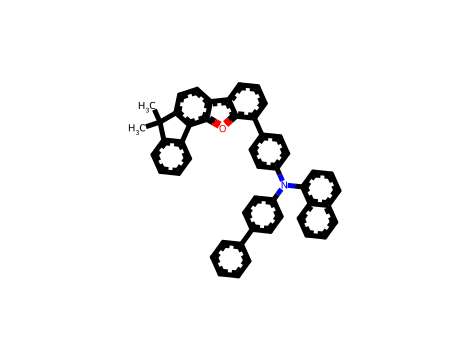 CC1(C)c2ccccc2-c2c1ccc1c2oc2c(-c3ccc(N(c4ccc(-c5ccccc5)cc4)c4cccc5ccccc45)cc3)cccc21